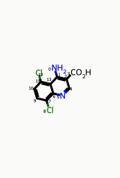 Nc1c(C(=O)O)cnc2c(Cl)ccc(Cl)c12